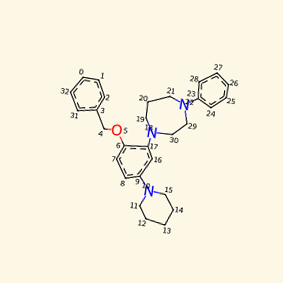 c1ccc(COc2ccc(N3CCCCC3)cc2N2CCCN(c3ccccc3)CC2)cc1